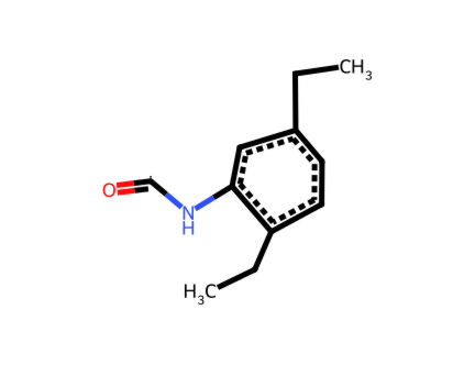 CCc1ccc(CC)c(N[C]=O)c1